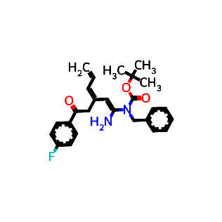 C=C/C=C(\C=C(/N)N(Cc1ccccc1)C(=O)OC(C)(C)C)CC(=O)c1ccc(F)cc1